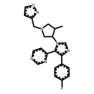 CC1CN(Cc2ccon2)CC1n1cnc(-c2ccc(F)cc2)c1-c1ccncn1